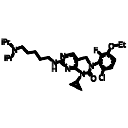 CCOc1ccc(Cl)c(N2Cc3cnc(NCCCCCN(C(C)C)C(C)C)nc3N(C3CC3)C2=O)c1F